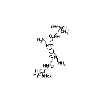 CCCCCC[N+](C)(C)CCCNC(=O)CCC(=O)N(CCN)Cc1ccc(CN(CCN)C(=O)CCC(=O)NCCC[N+](C)(C)CCCCCC)cc1